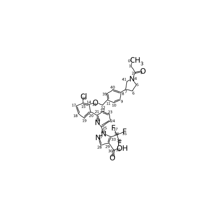 CCC(=O)N1CCC(c2ccc(COc3c(Cl)cccc3-c3cccc(-n4ncc(C(=O)O)c4C(F)(F)F)n3)cc2)C1